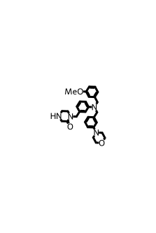 COc1cccc(CN(Cc2cccc(N3CCOCC3)c2)c2cccc(CN3CCNCC3=O)c2)c1